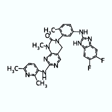 Cc1ccc(Nc2ncc3c(n2)N(C)C(=O)N(c2cc(Nc4nc5cc(F)c(F)cc5[nH]4)ccc2C)C3)c(C)n1